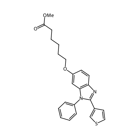 COC(=O)CCCCCOc1ccc2nc(-c3ccsc3)n(-c3ccccc3)c2c1